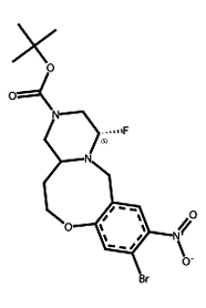 CC(C)(C)OC(=O)N1CC2CCOc3cc(Br)c([N+](=O)[O-])cc3CN2[C@@H](F)C1